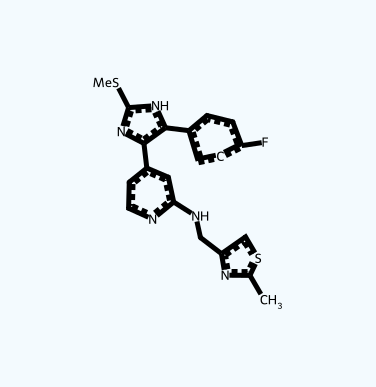 CSc1nc(-c2ccnc(NCc3csc(C)n3)c2)c(-c2ccc(F)cc2)[nH]1